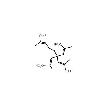 CC(=CCCC(C=C(C)C(=O)O)(C=C(C)C(=O)O)C=C(C)C(=O)O)C(=O)O